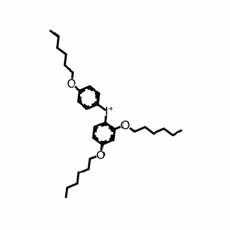 CCCCCCOc1ccc([I+]c2ccc(OCCCCCC)cc2OCCCCCC)cc1